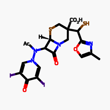 CC(=O)N(C1C(=O)N2CC(C(=O)O)(C(S)c3nc(C)co3)CS[C@H]12)n1cc(I)c(=O)c(I)c1